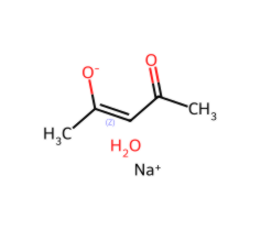 CC(=O)/C=C(/C)[O-].O.[Na+]